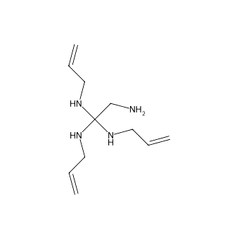 C=CCNC(CN)(NCC=C)NCC=C